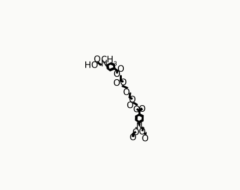 CN(CC(=O)O)c1ccc(C(=O)OCC(=O)OCCOCCOC(=O)COC(=O)c2ccc(N(COC=O)COC=O)cc2)cc1